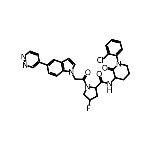 O=C(NC1CCCN(c2ccccc2Cl)C1=O)C1CC(F)CN1C(=O)Cn1ccc2cc(-c3ccnnc3)ccc21